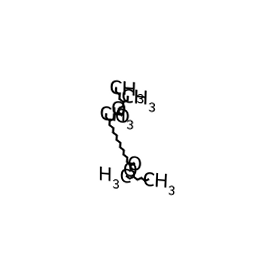 CCCCC(CC)COC(=O)CCCCCCCCCCCC(CC)CCC(=O)OCC(CC)CCCC